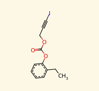 CCc1ccccc1OC(=O)OCC#CI